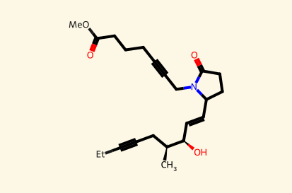 CCC#CC[C@H](C)[C@H](O)C=CC1CCC(=O)N1CC#CCCCC(=O)OC